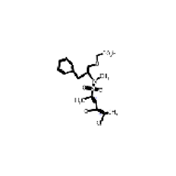 C/C(Cl)=C(Cl)\C=C(/C)S(=O)(=O)N(C)C(COCC(=O)O)Cc1ccccc1